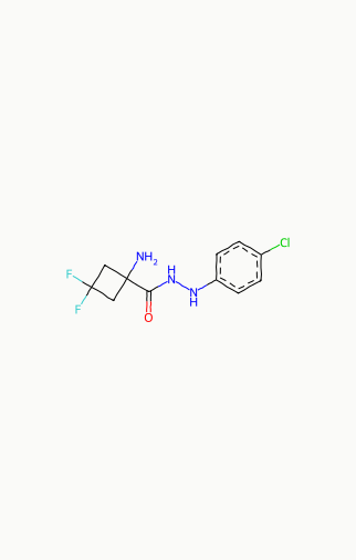 NC1(C(=O)NNc2ccc(Cl)cc2)CC(F)(F)C1